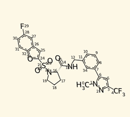 Cn1nc(C(F)(F)F)cc1-c1cccc(CNC(=O)[C@@H]2CCCN2S(=O)(=O)c2cc3cc(F)ccc3o2)c1